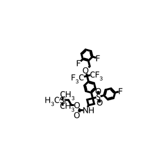 C[Si](C)(C)CCOC(=O)NC1CC(c2ccc(C(OCc3c(F)cccc3F)(C(F)(F)F)C(F)(F)F)cc2)(S(=O)(=O)c2ccc(F)cc2)C1